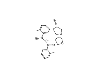 C1CCOC1.C1CCOC1.CC[N]([Ti+2][N](CC)c1ccccc1C)c1ccccc1C.[Br-].[Br-]